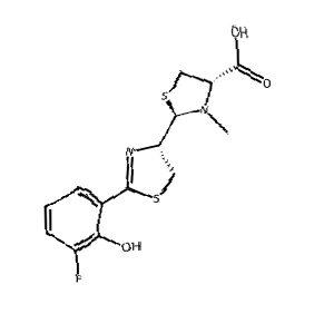 CN1[C@@H](C(=O)O)CS[C@@H]1[C@@H]1CSC(c2cccc(F)c2O)=N1